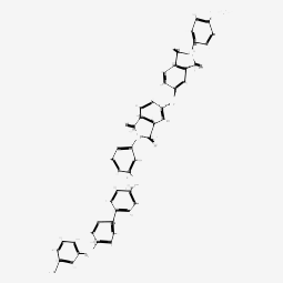 COc1ccc(N2C(=O)c3ccc(Oc4ccc5c(c4)C(=O)N(c4cccc(Oc6ccc(-c7ccc(Oc8cccc(C)c8)cc7)cc6)c4)C5=O)cc3C2=O)cc1